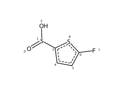 O=S(O)c1ccc(F)s1